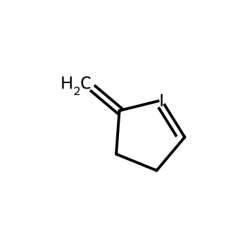 C=C1CCC=I1